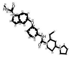 CCC1CC(N2CCCC2)CCN1C(=O)Nc1cc(Oc2ccc3c(ccn3C(=O)NC)c2)ccn1